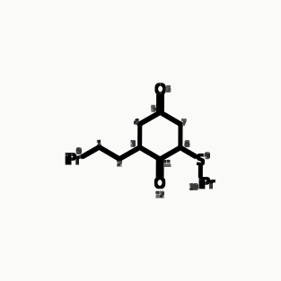 CC(C)CCC1CC(=O)CC(SC(C)C)C1=O